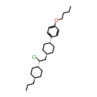 CCCCOc1ccc([C@H]2CC[C@H](CC(Cl)[C@H]3CC[C@H](CCC)CC3)CC2)cc1